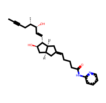 CC#CC[C@H](C)[C@H](O)/C=C/[C@@H]1[C@H]2C/C(=C/CCCC(=O)Nc3ccccn3)C[C@H]2C[C@H]1O